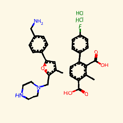 Cc1c(C(=O)O)ccc(-c2ccc(F)cc2)c1C(=O)O.Cc1cc(-c2ccc(CN)cc2)oc1CN1CCNCC1.Cl.Cl